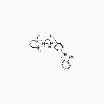 Cc1ccccc1CNc1ncc(C#N)c(NCC2C[C@H]3CCC[C@@H](C2)C3N2CCNCC2)n1